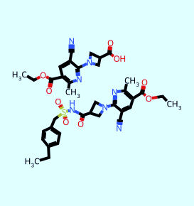 CCOC(=O)c1cc(C#N)c(N2CC(C(=O)NS(=O)(=O)Cc3ccc(CC)cc3)C2)nc1C.CCOC(=O)c1cc(C#N)c(N2CC(C(=O)O)C2)nc1C